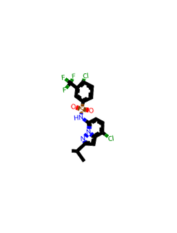 CC(C)c1cc2c(Cl)ccc(NS(=O)(=O)c3ccc(Cl)c(C(F)(F)F)c3)n2n1